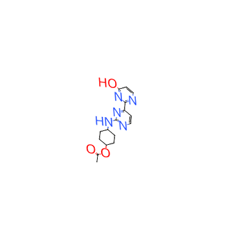 CC(=O)O[C@H]1CC[C@@H](Nc2nccc(-c3nccc(O)n3)n2)CC1